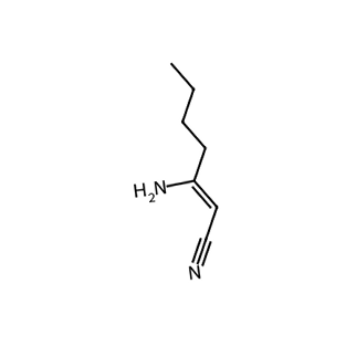 CCCC/C(N)=C/C#N